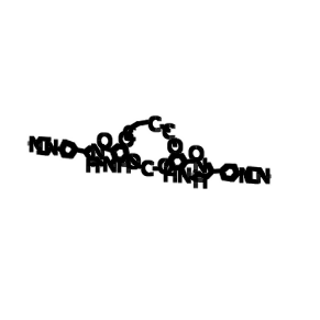 CN1CCN(c2ccc(C3=CN4C(=O)c5cc6c(cc5NC[C@@H]4C3)OCCCOc3cc4c(cc3OCCCCCCCCO6)C(=O)N3C=C(c5ccc(N6CCN(C)CC6)cc5)C[C@H]3CN4)cc2)CC1